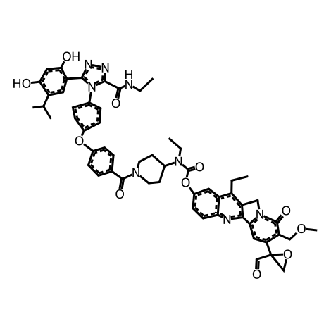 CCNC(=O)c1nnc(-c2cc(C(C)C)c(O)cc2O)n1-c1ccc(Oc2ccc(C(=O)N3CCC(N(CC)C(=O)Oc4ccc5nc6c(c(CC)c5c4)Cn4c-6cc(C5(C=O)CO5)c(COC)c4=O)CC3)cc2)cc1